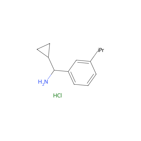 CC(C)c1cccc(C(N)C2CC2)c1.Cl